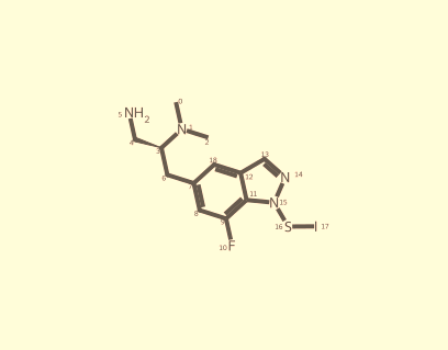 CN(C)[C@H](CN)Cc1cc(F)c2c(cnn2SI)c1